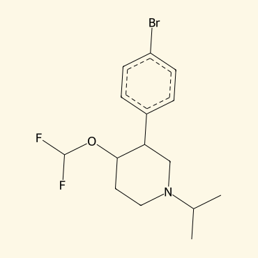 CC(C)N1CCC(OC(F)F)C(c2ccc(Br)cc2)C1